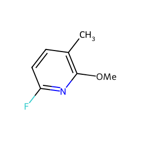 COc1nc(F)ccc1C